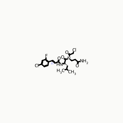 CC(C)C[C@H](NC(=O)/C=C/c1ccc(Cl)cc1F)C(=O)N(CCC(N)=O)C(=O)CCl